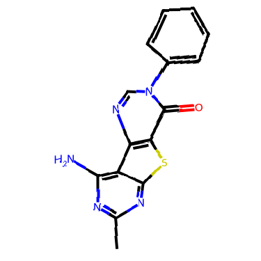 Cc1nc(N)c2c(n1)sc1c(=O)n(-c3ccccc3)cnc12